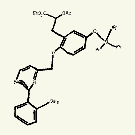 CCOC(=O)C(Cc1cc(O[Si](C(C)C)(C(C)C)C(C)C)ccc1OCc1ccnc(-c2ccccc2OC)n1)OC(C)=O